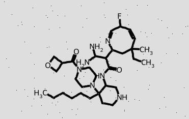 CCCCCCC1(N2CCN(C(=O)C3COC3)CC2)CCNCC1NC(=O)C(C(N)N)C1CC(C)(CC)/C=C\C(F)/C=N\1